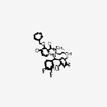 CN1C(=O)c2c(OCc3ccccc3)c(=O)ccn2N(C(c2ccc(F)c(F)c2)c2cc(F)c(F)cc2O)C1CCO